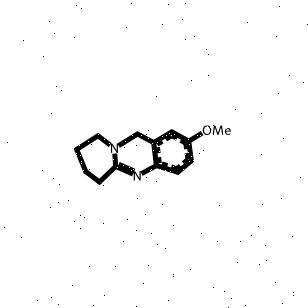 COc1ccc2c(c1)CN1CCCCC1=N2